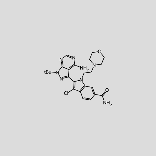 CC(C)(C)n1nc(-c2c(Cl)c3ccc(C(N)=O)cc3n2CCN2CCOCC2)c2c(N)ncnc21